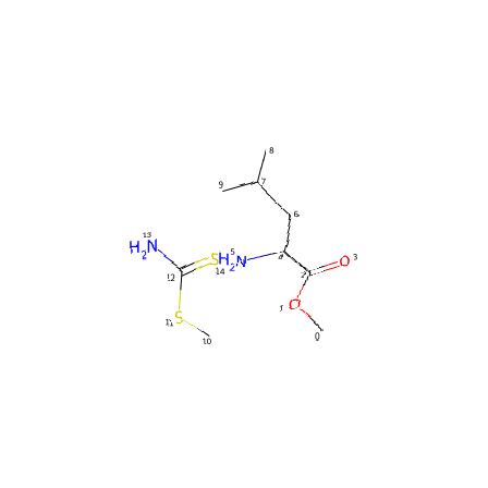 COC(=O)C(N)CC(C)C.CSC(N)=S